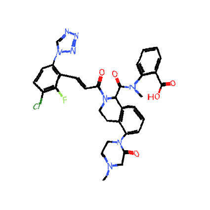 CN1CCN(c2cccc3c2CCN(C(=O)C=Cc2c(-n4cnnn4)ccc(Cl)c2F)C3C(=O)N(C)c2ccccc2C(=O)O)C(=O)C1